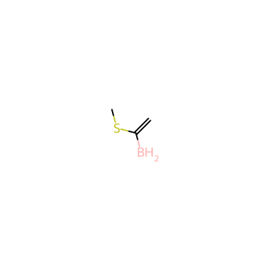 BC(=C)SC